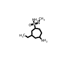 CCC1CC(N)CCC(S(N)(=O)=NC)C1